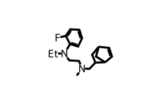 CCN(CCN(C)CC1CC2C=CC1C2)c1ccccc1F